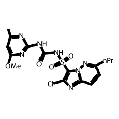 CCCc1ccc2nc(Cl)c(S(=O)(=O)NC(=O)Nc3nc(C)cc(OC)n3)n2n1